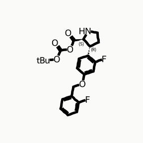 CC(C)(C)OC(=O)OC(=O)[C@H]1NCC[C@@H]1c1ccc(OCc2ccccc2F)cc1F